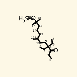 CCC(=O)C(CC)(CC)CCC(C)CCCC(C)(C)O[SiH3]